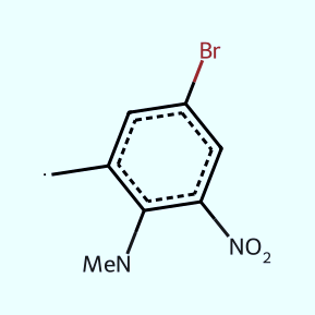 [CH2]c1cc(Br)cc([N+](=O)[O-])c1NC